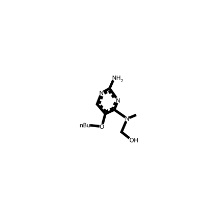 CCCCOc1cnc(N)nc1N(C)CO